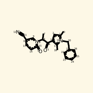 Cc1cc(C(=O)C(C)n2cc(C#N)ccc2=O)c(C)n1Cc1ccccc1